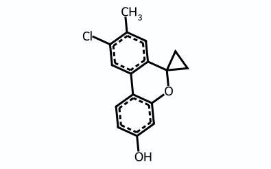 Cc1cc2c(cc1Cl)-c1ccc(O)cc1OC21CC1